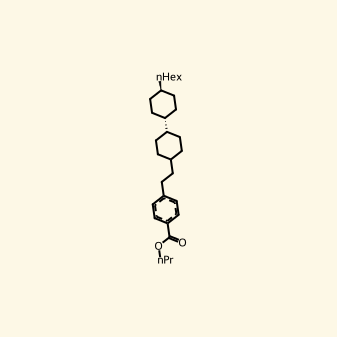 CCCCCC[C@H]1CC[C@H](C2CCC(CCc3ccc(C(=O)OCCC)cc3)CC2)CC1